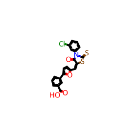 O=C(O)c1cccc(-c2ccc(/C=C3/SC(=S)N(c4cccc(Cl)c4)C3=O)o2)c1